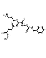 CC(C)(C)OC(=O)CCC(=O)NC(CCCCN)C(=O)NCC(=O)OCc1ccccc1